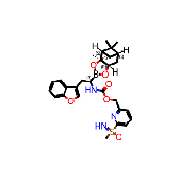 CC1(C)[C@@H]2C[C@H]3OB([C@H](Cc4coc5ccccc45)NC(=O)OCc4cccc(S(C)(=N)=O)n4)O[C@@]3(C)[C@H]1C2